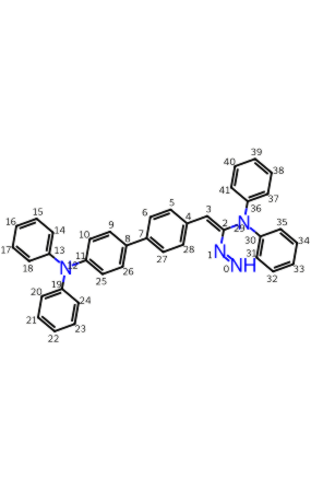 N=NC(=Cc1ccc(-c2ccc(N(c3ccccc3)c3ccccc3)cc2)cc1)N(c1ccccc1)c1ccccc1